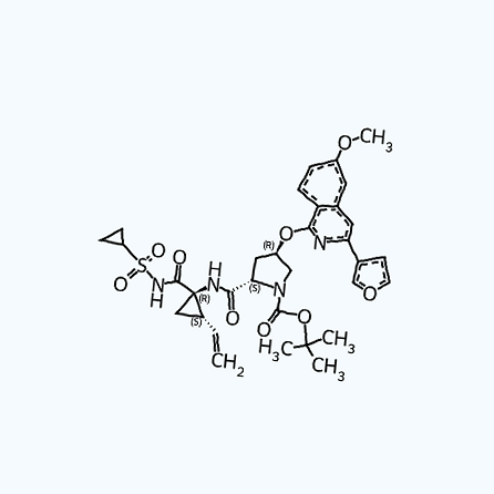 C=C[C@@H]1C[C@]1(NC(=O)[C@@H]1C[C@@H](Oc2nc(-c3ccoc3)cc3cc(OC)ccc23)CN1C(=O)OC(C)(C)C)C(=O)NS(=O)(=O)C1CC1